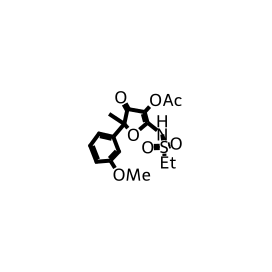 CCS(=O)(=O)NC1=C(OC(C)=O)C(=O)C(C)(c2cccc(OC)c2)O1